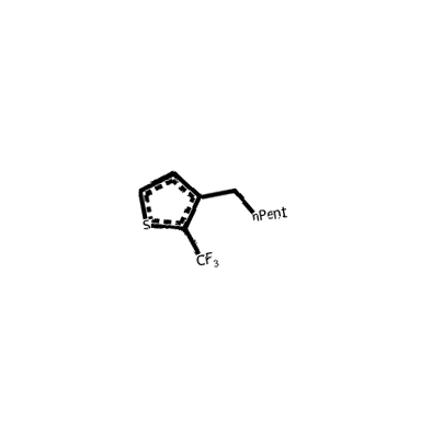 CCCCCCc1ccsc1C(F)(F)F